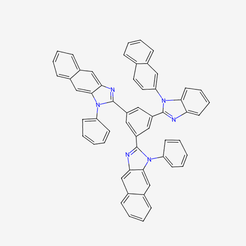 c1ccc(-n2c(-c3cc(-c4nc5ccccc5n4-c4ccc5ccccc5c4)cc(-c4nc5cc6ccccc6cc5n4-c4ccccc4)c3)nc3cc4ccccc4cc32)cc1